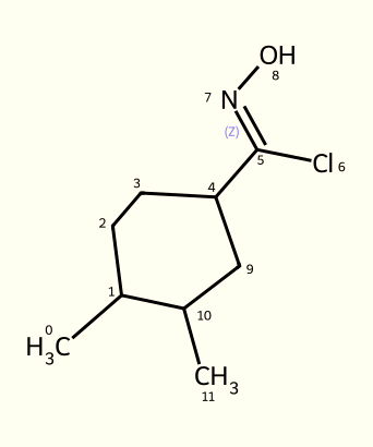 CC1CCC(/C(Cl)=N/O)CC1C